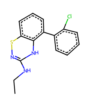 CCNC1=NSc2cccc(-c3ccccc3Cl)c2N1